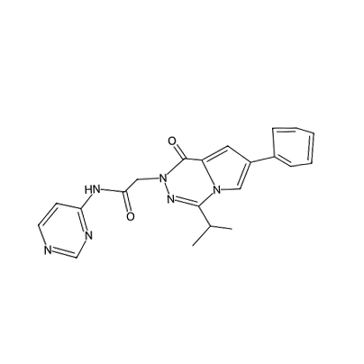 CC(C)c1nn(CC(=O)Nc2ccncn2)c(=O)c2cc(-c3ccccc3)cn12